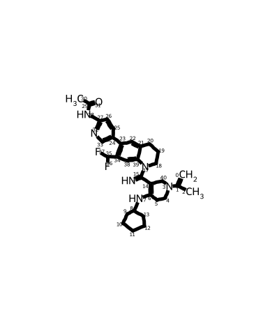 C=C(C)N1CCC(NC2CCCCC2)=C(C(=N)N2CCCc3cc(-c4ccc(NC(C)=O)nc4)c(C(F)F)cc32)C1